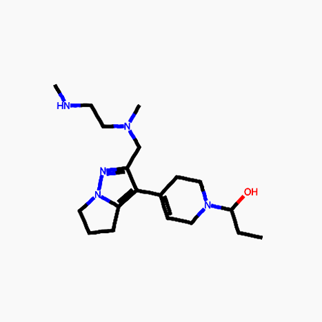 CCC(O)N1CC=C(c2c(CN(C)CCNC)nn3c2CCC3)CC1